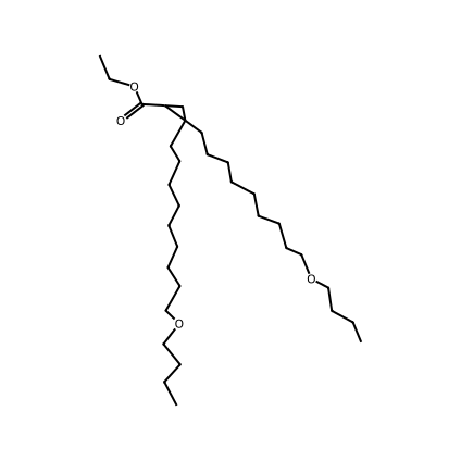 CCCCOCCCCCCCCCC1(CCCCCCCCCOCCCC)CC1C(=O)OCC